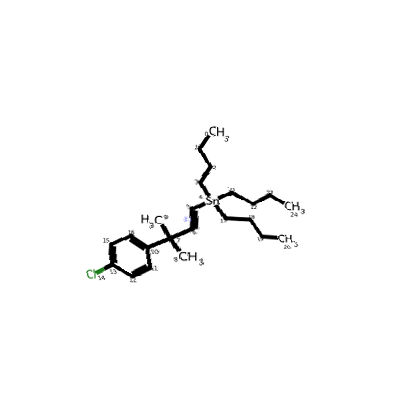 CCC[CH2][Sn](/[CH]=C/C(C)(C)c1ccc(Cl)cc1)([CH2]CCC)[CH2]CCC